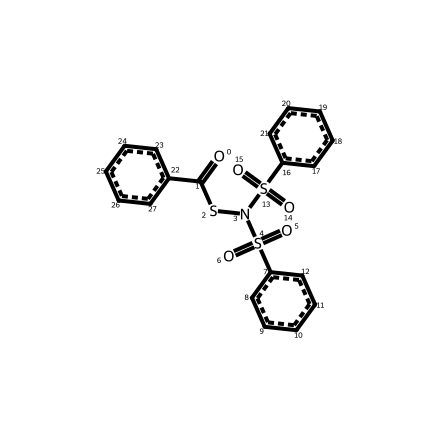 O=C(SN(S(=O)(=O)c1ccccc1)S(=O)(=O)c1ccccc1)c1ccccc1